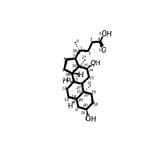 C[C@H](CCC(=O)O)C1CC[C@H]2[C@@H]3CC[C@@H]4C[C@H](O)CC[C@]4(C)C3C[C@H](O)[C@]12C